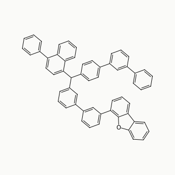 c1ccc(-c2cccc(-c3ccc(C(c4cccc(-c5cccc(-c6cccc7c6oc6ccccc67)c5)c4)c4ccc(-c5ccccc5)c5ccccc45)cc3)c2)cc1